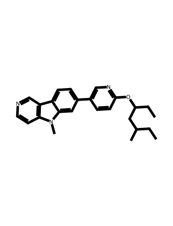 CCC(C)CC(CC)Oc1ccc(-c2ccc3c4cnccc4n(C)c3c2)cn1